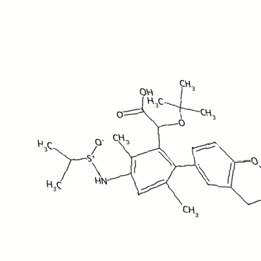 Cc1cc(N[S+]([O-])C(C)C)c(C)c(C(OC(C)(C)C)C(=O)O)c1-c1ccc2c(c1)CCCO2